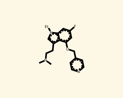 CCn1cc(CCN(C)C)c2c(OCc3ccncc3)cc(F)cc21